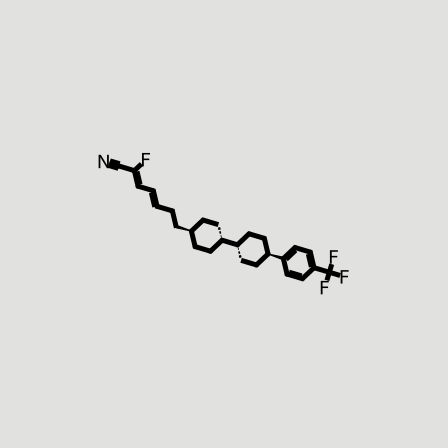 N#CC(F)=CC=CCC[C@H]1CC[C@H]([C@H]2CC[C@H](c3ccc(C(F)(F)F)cc3)CC2)CC1